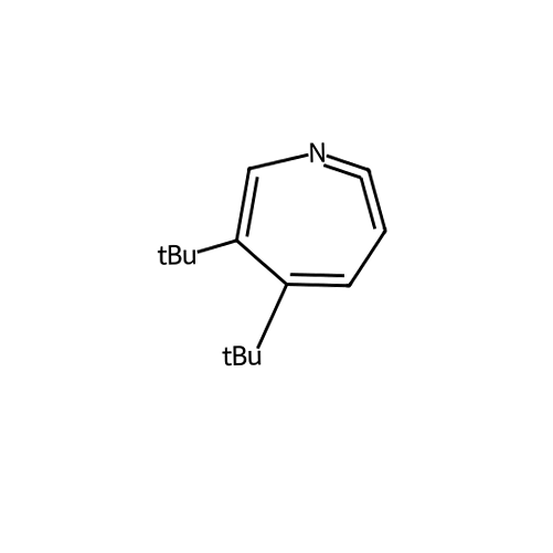 CC(C)(C)C1=CC=C=NC=C1C(C)(C)C